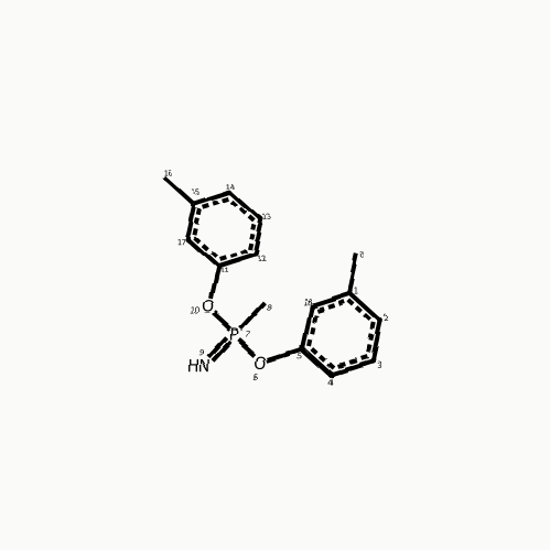 Cc1cccc(OP(C)(=N)Oc2cccc(C)c2)c1